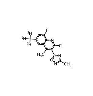 [2H]C([2H])([2H])c1cc(F)c2nc(Cl)c(-c3nc(C)no3)c(C)c2c1